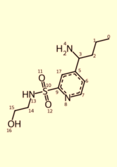 CCCC(N)c1ccnc(S(=O)(=O)NCCO)c1